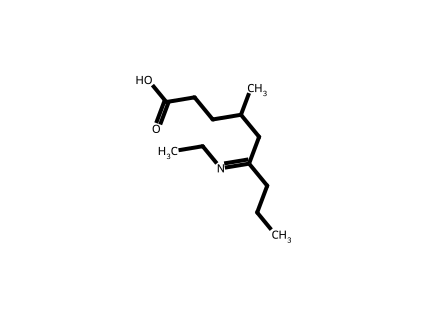 CCCC(CC(C)CCC(=O)O)=NCC